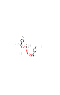 C=C(C(=O)OOC(C)OC(=O)OC(C)OOC(=O)C(=C)C(C)(C)c1ccc(C(C)C)cc1)C(C)(C)c1ccc(C(C)C)cc1